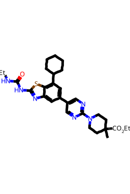 CCNC(=O)Nc1nc2cc(-c3cnc(N4CCC(C)(C(=O)OCC)CC4)nc3)cc(C3CCCCC3)c2s1